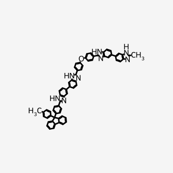 Cc1ccc(C2(c3ccc(-c4nc5cc(-c6ccc7nc(-c8ccc(Oc9ccc(-c%10nc%11cc(-c%12ccc%13nc(C)[nH]c%13c%12)ccc%11[nH]%10)cc9)cc8)[nH]c7c6)ccc5[nH]4)cc3)c3ccccc3-c3ccccc32)cc1